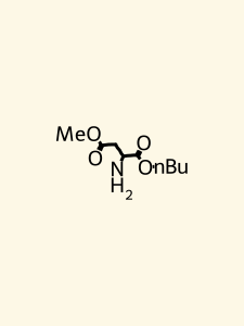 CCCCOC(=O)C(N)CC(=O)OC